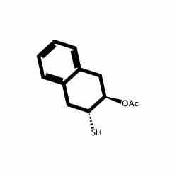 CC(=O)O[C@@H]1Cc2ccccc2C[C@H]1S